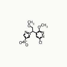 COCC(c1cc(Cl)nnc1OC)n1cc([N+](=O)[O-])cn1